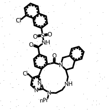 CCCN1CCNCC2Cc3ccccc3CN2C(=O)c2cc(C(=O)NS(=O)(=O)c3ccc4cccc(Cl)c4c3)ccc2-c2nc1ncc2Cl